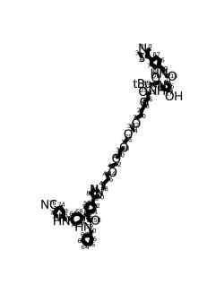 Cc1ncsc1-c1ccc(CNC(=O)[C@@H]2C[C@@H](O)CN2C(=O)[C@@H](NC(=O)COCCCCOCCOCCOCCOCCOCCCCn2cc(-c3ccc(N(C(=O)NCc4ccccc4)[C@H]4CC[C@H](Nc5ccc(C#N)cn5)CC4)cc3)cn2)C(C)(C)C)cc1